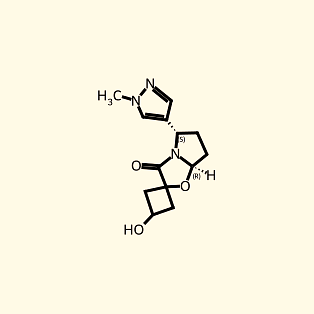 Cn1cc([C@@H]2CC[C@H]3OC4(CC(O)C4)C(=O)N32)cn1